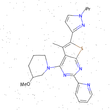 COC1CCCN(c2nc(-c3ccccn3)nc3sc(-c4ccn(C(C)C)n4)c(C)c23)C1